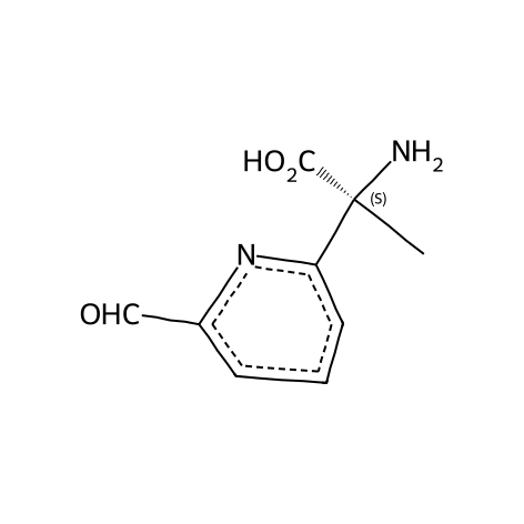 C[C@@](N)(C(=O)O)c1cccc(C=O)n1